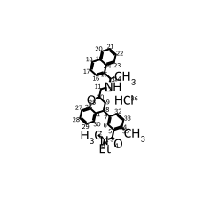 CCN(C)C(=O)c1cc(C2CC(CN[C@H](C)c3cccc4ccccc34)Oc3ccccc32)ccc1C.Cl